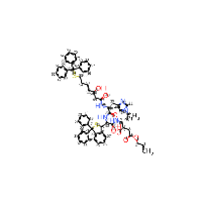 C=CCOC(=O)C[C@H](O)[C@H](NC(=O)[C@@H](CSC(c1ccccc1)(c1ccccc1)c1ccccc1)NC(=O)[C@@H](Cc1cn(C)cn1)NC(=O)C[C@H](O)C=CCCSC(c1ccccc1)(c1ccccc1)c1ccccc1)C(C)C